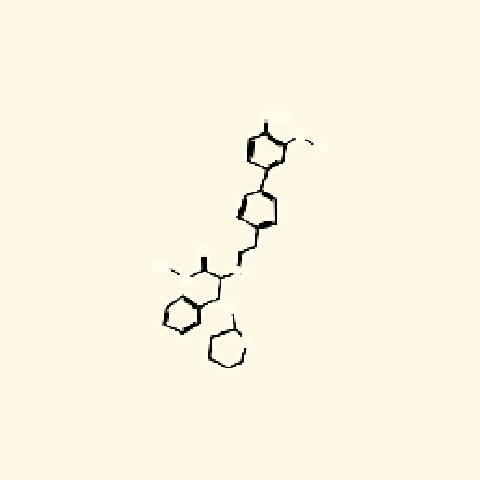 CC(C)Oc1cc(-c2ccc(CCNC(C(=O)OC(C)(C)C)[C@H](OC3CCCCO3)c3ccccc3)cc2)ccc1C(=O)O